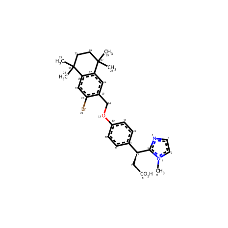 Cn1ccnc1[C@@H](CC(=O)O)c1ccc(OCc2cc3c(cc2Br)C(C)(C)CCC3(C)C)cc1